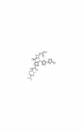 CC(C)N1CCC(NC(=O)c2cc(C(=O)N3CC(OC(=O)O)C3)n(Cc3cc(-c4ccc(Cl)s4)on3)n2)CC1